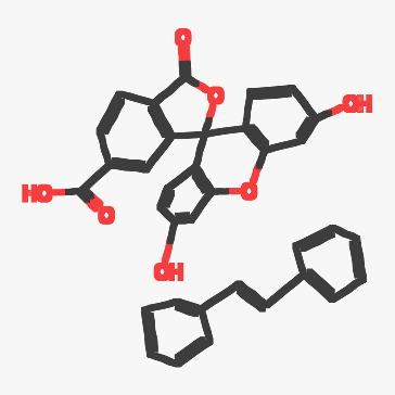 C(=Cc1ccccc1)c1ccccc1.O=C(O)c1ccc2c(c1)C1(OC2=O)c2ccc(O)cc2Oc2cc(O)ccc21